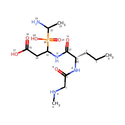 CCC[C@H](NC(=O)CNC)C(=O)NC(CC(=O)O)P(=O)(O)C(C)N